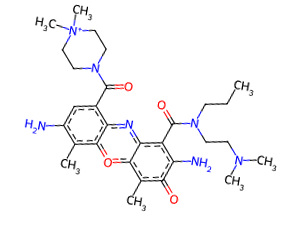 CCCN(CCN(C)C)C(=O)c1c2nc3c(C(=O)N4CC[N+](C)(C)CC4)cc(N)c(C)c3oc-2c(C)c(=O)c1N